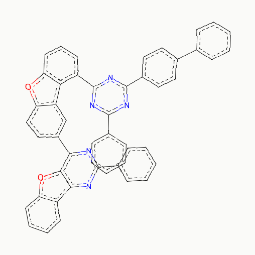 c1ccc(-c2ccc(-c3nc(-c4ccccc4)nc(-c4cccc5oc6ccc(-c7nc(-c8ccccc8)nc8c7oc7ccccc78)cc6c45)n3)cc2)cc1